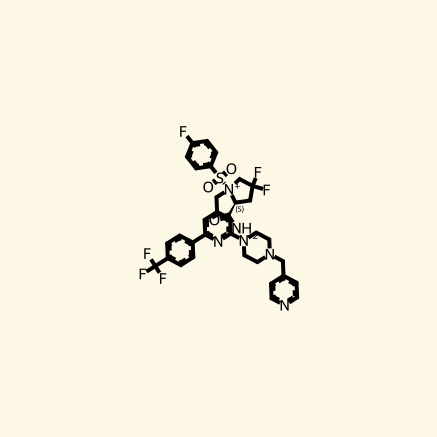 NC(=O)[C@@H]1CC(F)(F)C[N+]1(Cc1cc(-c2ccc(C(F)(F)F)cc2)nc(N2CCN(Cc3ccncc3)CC2)c1)S(=O)(=O)c1ccc(F)cc1